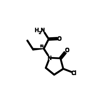 CC[C@@H](C(N)=O)N1CCC(Cl)C1=O